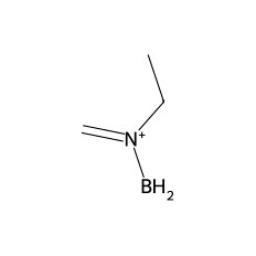 B[N+](=C)CC